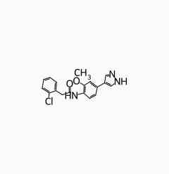 COc1cc(-c2cn[nH]c2)ccc1NC(=O)Cc1ccccc1Cl